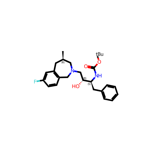 C[C@@H]1Cc2cc(F)ccc2CN(C[C@@H](O)[C@H](Cc2ccccc2)NC(=O)OC(C)(C)C)C1